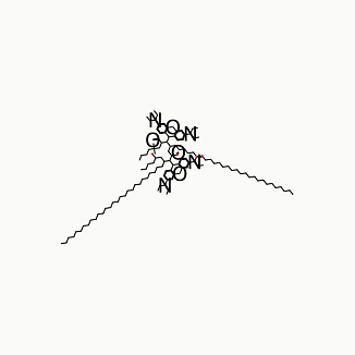 CCCCCCCCCCCCCCCCCCCCCCCCCCCCC(CC(C)CCCC)C(C(C=O)CC(CCCCCCCCCCCCCCCCCCCCCCCCCCCC)C(C(C=O)CC(C)(C)CCCC)C1c2ccc(N(CC)CC)cc2Oc2cc(N(CC)CC)ccc21)C1c2ccc(N(CC)CC)cc2Oc2cc(N(CC)CC)ccc21